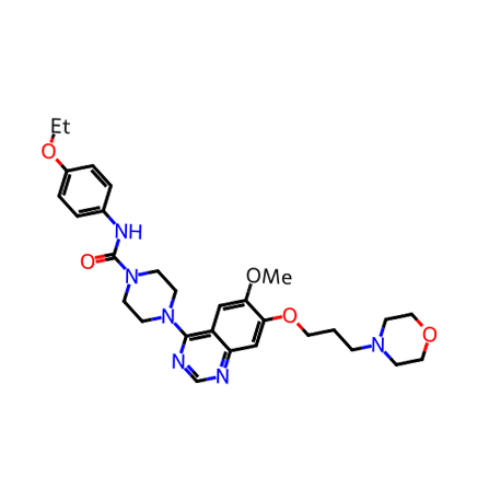 CCOc1ccc(NC(=O)N2CCN(c3ncnc4cc(OCCCN5CCOCC5)c(OC)cc34)CC2)cc1